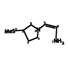 CSC1CCN(/C=C\N)C1